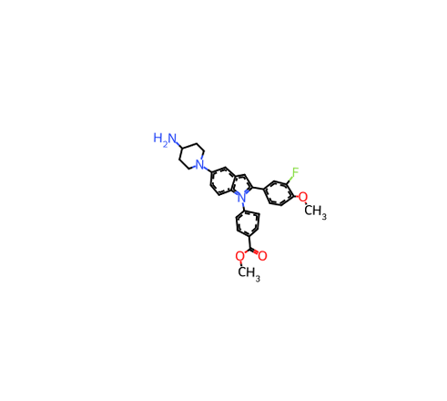 COC(=O)c1ccc(-n2c(-c3ccc(OC)c(F)c3)cc3cc(N4CCC(N)CC4)ccc32)cc1